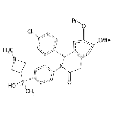 COc1cc2c(cc1OC(C)C)C(c1ccc(Cl)cc1)N(c1ccc([C@@](C)(O)C3CN(C)C3)cc1)C(=O)C2